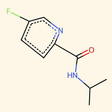 CC(C)NC(=O)c1ccc(F)cn1